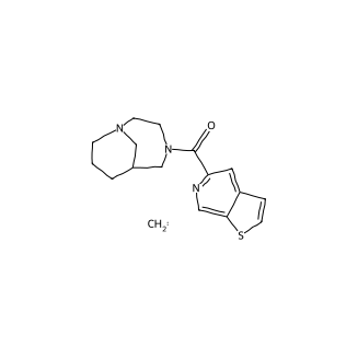 O=C(c1cc2ccsc2cn1)N1CCN2CCCC(C2)C1.[CH2]